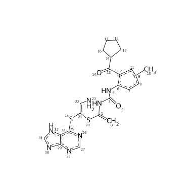 C=C(NC(=O)Nc1ccc(C)cc1C(=O)C1CCCC1)S/C(=C\N)Sc1ncnc2nc[nH]c12